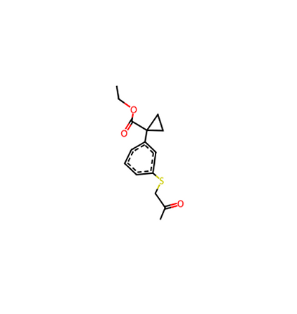 CCOC(=O)C1(c2cccc(SCC(C)=O)c2)CC1